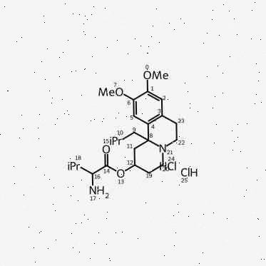 COc1cc2c(cc1OC)C1(CC(C)C)CC(OC(=O)C(N)C(C)C)CCN1CC2.Cl.Cl